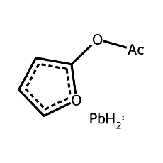 CC(=O)Oc1ccco1.[PbH2]